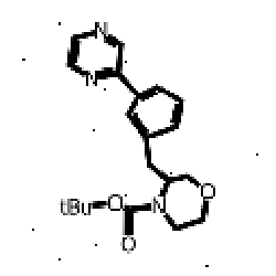 CC(C)(C)OC(=O)N1CCOCC1Cc1cccc(-c2cnccn2)c1